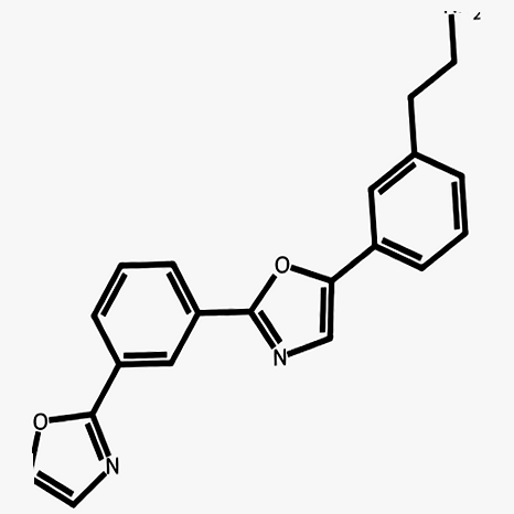 NCCc1cccc(-c2cnc(-c3cccc(-c4ncco4)c3)o2)c1